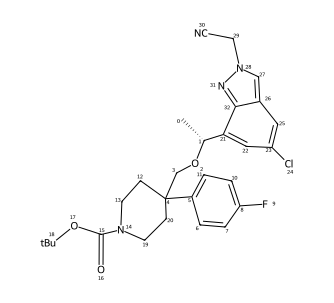 C[C@@H](OCC1(c2ccc(F)cc2)CCN(C(=O)OC(C)(C)C)CC1)c1cc(Cl)cc2cn(CC#N)nc12